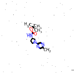 Cc1cnc(N2CC[C@H](NC(=O)OC(C)(C)C)C2)cn1